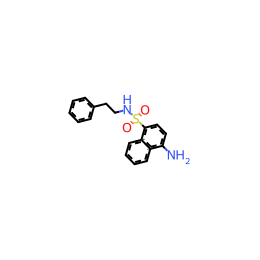 Nc1ccc(S(=O)(=O)NCCc2ccccc2)c2ccccc12